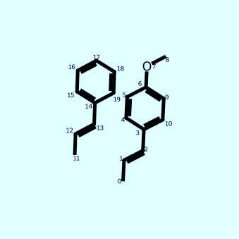 C/C=C/c1ccc(OC)cc1.CC=Cc1ccccc1